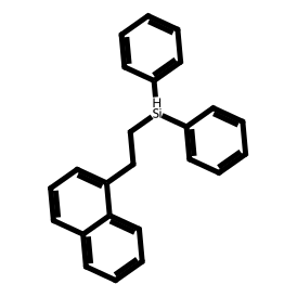 c1ccc([SiH](CCc2cccc3ccccc23)c2ccccc2)cc1